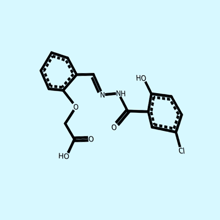 O=C(O)COc1ccccc1/C=N/NC(=O)c1cc(Cl)ccc1O